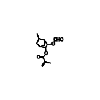 C=C(C)C(=O)OC1C2CC(C)C(C2)C1OC=O